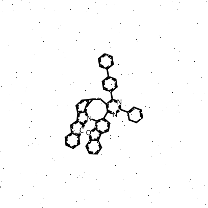 C1=CCCC(c2nc(-c3ccc(-c4ccccc4)cc3)c3c(n2)-c2ccc4c(oc5ccccc54)c2-n2c4cc(ccc4c4cc5ccccc5cc42)C3)=C1